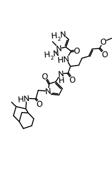 COC(=O)/C=C/CCC(NC(=O)/C(=C/N)N(C)N)C(=O)Nc1cccn(CC(=O)NC2C(C)CC3CCCC2C3)c1=O